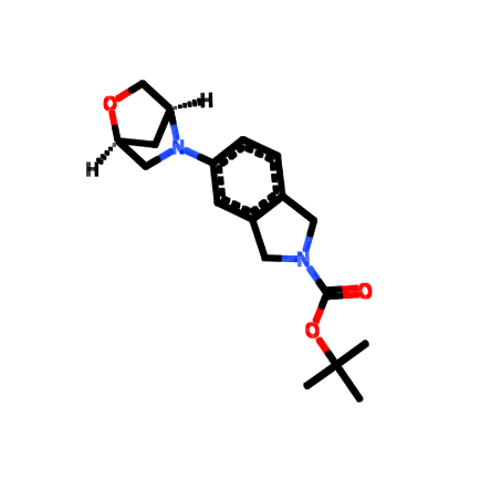 CC(C)(C)OC(=O)N1Cc2ccc(N3C[C@@H]4C[C@H]3CO4)cc2C1